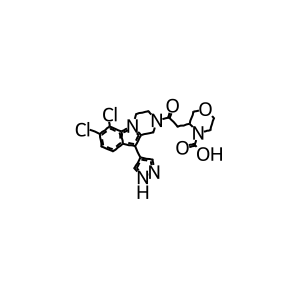 O=C(CC1COCCN1C(=O)O)N1CCn2c(c(-c3cn[nH]c3)c3ccc(Cl)c(Cl)c32)C1